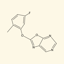 Cc1ccc(F)cc1Oc1nc2cncnc2o1